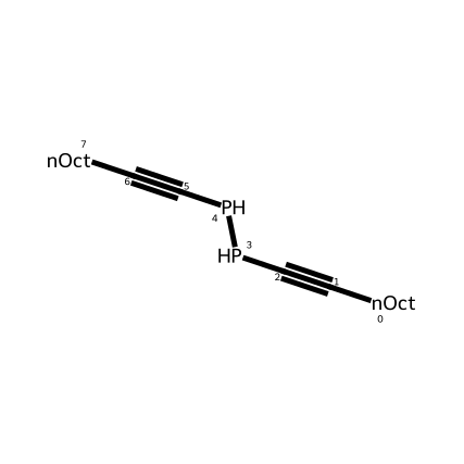 CCCCCCCCC#CPPC#CCCCCCCCC